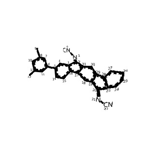 [C-]#[N+]/N=c1\c2cc(-c3cc(C)cc(C)c3)ccc2c2cc3/c(=N/C#N)c4ccccc4c3cc12